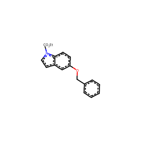 CCOC(=O)n1ccc2cc(OCc3ccccc3)ccc21